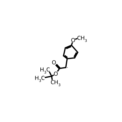 COc1ccc([CH]C(=O)OC(C)(C)C)cc1